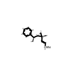 COC=C[C@@]1(C)C[C@H]1[C@@H](C)c1ccccc1